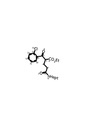 CCCCCCCC(=O)CCC(C(=O)OCC)C(=O)c1ccccc1Cl